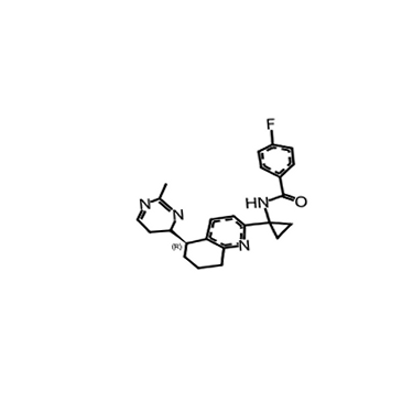 CC1=NC([C@@H]2CCCc3nc(C4(NC(=O)c5ccc(F)cc5)CC4)ccc32)CC=N1